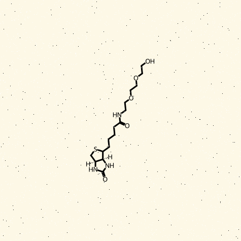 O=C(CCCCC1SC[C@@H]2NC(=O)N[C@H]12)NCCOCCOCCO